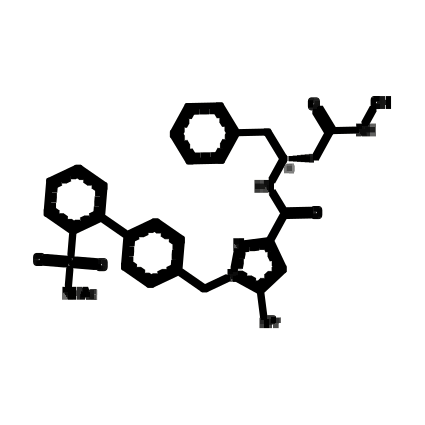 CCCc1cc(C(=O)N[C@@H](CC(=O)NO)Cc2ccccc2)nn1Cc1ccc(-c2ccccc2S(=O)(=O)NC(C)=O)cc1